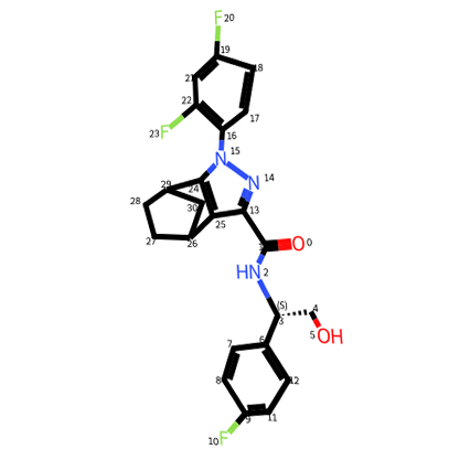 O=C(N[C@H](CO)c1ccc(F)cc1)c1nn(-c2ccc(F)cc2F)c2c1C1CCC2C1